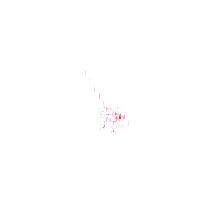 CCCCCCCCCCCCC(N(CCC)C(P(=O)(O)O)P(=O)(O)O)(P(=O)(O)O)P(=O)(O)O